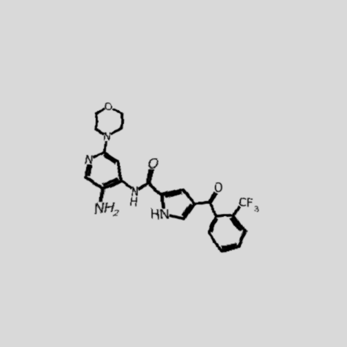 Nc1cnc(N2CCOCC2)cc1NC(=O)c1cc(C(=O)c2ccccc2C(F)(F)F)c[nH]1